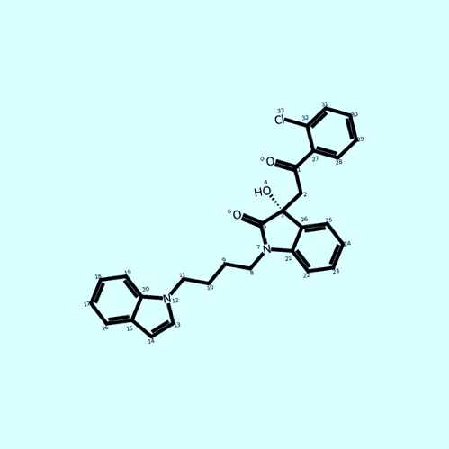 O=C(C[C@]1(O)C(=O)N(CCCCn2ccc3ccccc32)c2ccccc21)c1ccccc1Cl